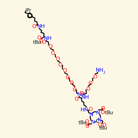 CC(C)Cc1ccc(CCCC(=O)NCCCCC(NC(=O)CCOCCOCCOCCOCCOCCOCCOCCOCCNC(=O)C(CCCCNC(=O)CN2CCN(CC(=O)OC(C)(C)C)CCN(CC(=O)OC(C)(C)C)CCN(CC(=O)OC(C)(C)C)CC2)NC(=O)CCOCCOCCOCCN)C(=O)OC(C)(C)C)cc1